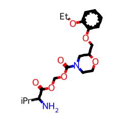 CCOc1ccccc1OCC1CN(C(=O)OCOC(=O)C(N)C(C)C)CCO1